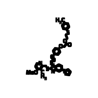 COc1ccnc(CSc2nc3cc(-n4cccc4)ccc3n2SOOc2ccc(OCC(=O)OCCSc3ccc(C)cc3)cc2)c1C